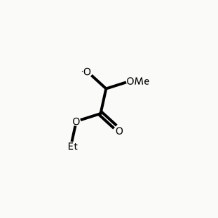 CCOC(=O)C([O])OC